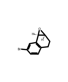 Brc1ccc2c(c1)[C@H]1O[C@H]1CC2